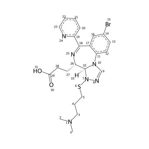 CN(C)CCCSN1N=CN2c3ccc(Br)cc3C(c3ccccn3)=N[C@@H](CCC(=O)O)[C@H]12